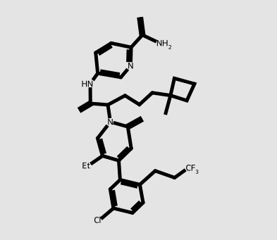 C=C(N)c1ccc(NC(=C)C(CCCC2(C)CCC2)N2C=C(CC)C(c3cc(Cl)ccc3CCC(F)(F)F)=CC2=C)cn1